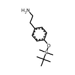 CC(C)(C)[Si](C)(C)Oc1ccc(CCN)cc1